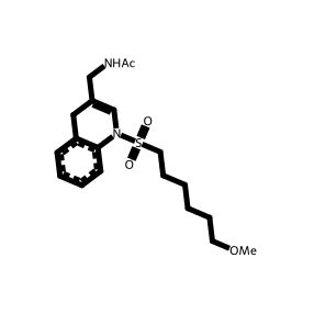 COCCCCCCS(=O)(=O)N1C=C(CNC(C)=O)Cc2ccccc21